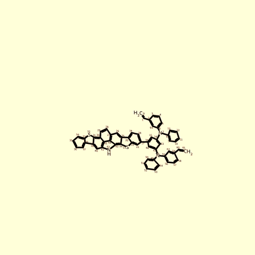 C=Cc1cccc(N(c2ccccc2)c2cc(-c3ccc4c(c3)sc3c4cc4ccc5c6sc7ccccc7c6cc6[nH]c3c4c65)cc(N(c3ccccc3)c3cccc(C=C)c3)c2)c1